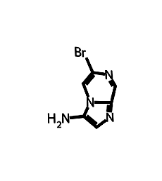 Nc1cnc2cnc(Br)cn12